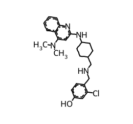 CN(C)c1cc(NC2CCC(CNCc3ccc(O)cc3Cl)CC2)nc2ccccc12